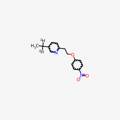 [2H]C([2H])(C)c1ccc(CCOc2ccc([N+](=O)[O-])cc2)nc1